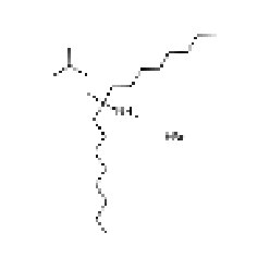 Br.CCCCCCCCC(N)(CCCCCCCC)CCC(C)I